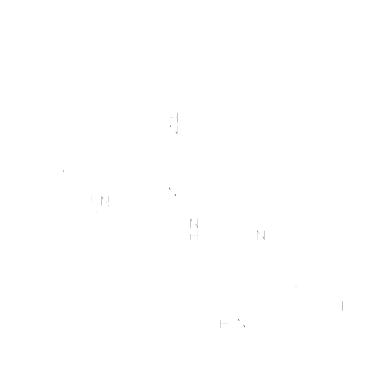 CC1(CN)CCN(C2NN3C(NC(c4ccccc4Cl)C3N)S2)C1